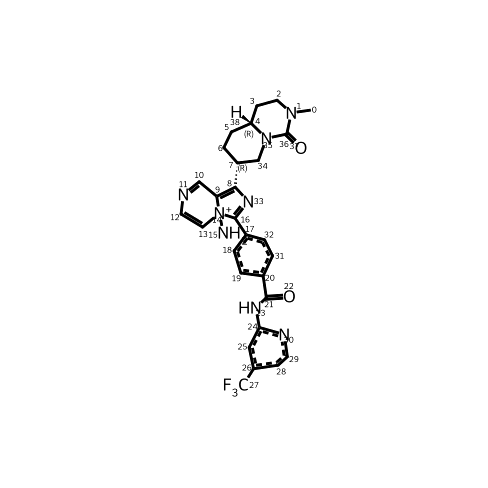 CN1CC[C@H]2CC[C@@H](C3=C4C=NC=C[N+]4(N)C(c4ccc(C(=O)Nc5cc(C(F)(F)F)ccn5)cc4)=N3)CN2C1=O